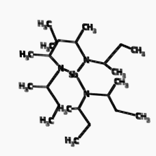 CCC(C)[N](C(C)CC)[Sb]([N](C(C)CC)C(C)CC)[N](C(C)CC)C(C)CC